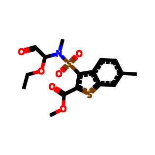 CCOC(C=O)N(C)S(=O)(=O)c1c(C(=O)OC)sc2cc(C)ccc12